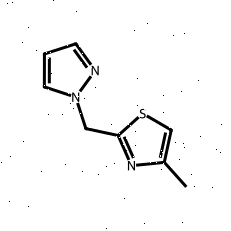 Cc1csc(Cn2cccn2)n1